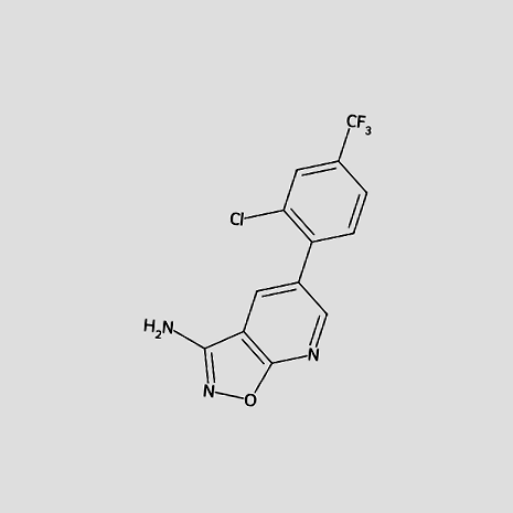 Nc1noc2ncc(-c3ccc(C(F)(F)F)cc3Cl)cc12